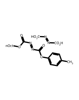 CCCCCCCCOC(=O)N=NC(=O)Oc1ccc(C)cc1.O=C(O)N=NC(=O)O